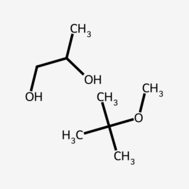 CC(O)CO.COC(C)(C)C